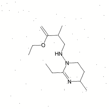 C=C(OCC)C(C)CNN1CCC(C)N=C1CC